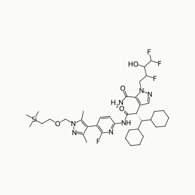 Cc1nn(COCC[Si](C)(C)C)c(C)c1-c1ccc(NC(=O)[C@H](c2cnn(CC(F)C(O)C(F)F)c2C(N)=O)C(C2CCCCC2)C2CCCCC2)nc1F